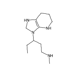 CCC(CCNC)N1CNC2=C1NCCC2